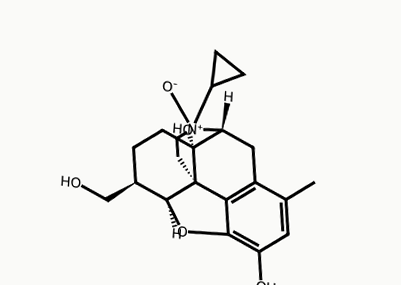 Cc1cc(O)c2c3c1C[C@@H]1[C@]4(O)CC[C@H](CO)[C@H](O2)[C@]34CC[N+]1([O-])C1CC1